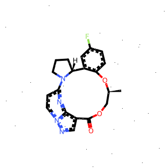 C[C@H]1COC(=O)c2cnn3ccc(nc23)N2CCC[C@@H]2c2cc(F)ccc2O1